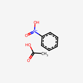 CC(=O)O.O=[N+](O)c1ccccc1